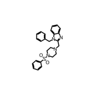 O=S(=O)(c1ccccc1)N1CCN(Cc2nc3ccccc3n2Cc2ccccc2)CC1